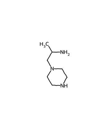 CC(N)CN1CCNCC1